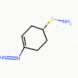 N=NC1=CC[C@@H](SN)CC1